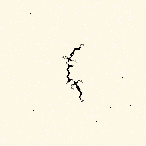 CC(C)(C#CCCC#N)OC(=O)CCCC(=O)OC(C)(C)C#CCCC#N